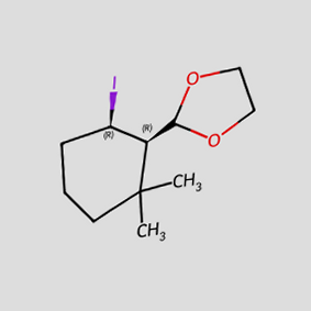 CC1(C)CCC[C@@H](I)[C@H]1C1OCCO1